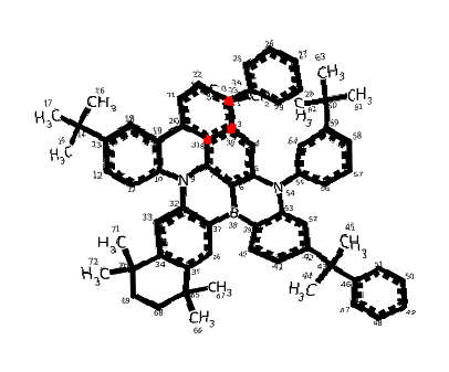 CC(C)c1cc2c3c(c1)N(c1ccc(C(C)(C)C)cc1-c1ccc(-c4ccccc4)cc1)c1cc4c(cc1B3c1ccc(C(C)(C)c3ccccc3)cc1N2c1cccc(C(C)(C)C)c1)C(C)(C)CCC4(C)C